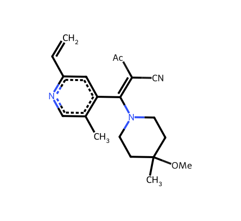 C=Cc1cc(/C(=C(/C#N)C(C)=O)N2CCC(C)(OC)CC2)c(C)cn1